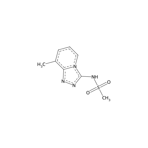 Cc1cccn2c(NS(C)(=O)=O)nnc12